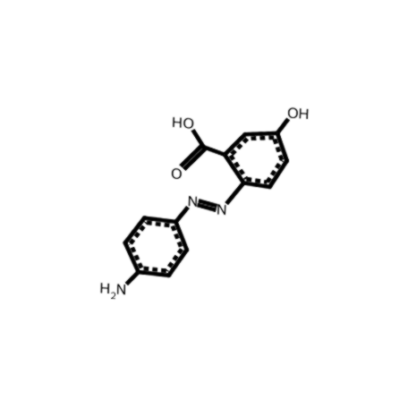 Nc1ccc(N=Nc2ccc(O)cc2C(=O)O)cc1